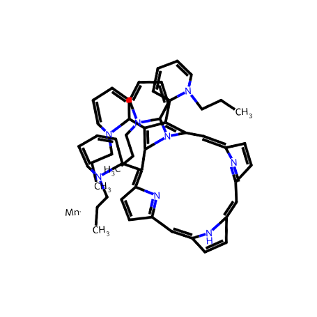 CCCN1C=CC=CC1c1c(C2C=CC=CN2CCC)c2c(C3C=CC=CN3CCC)c3nc(cc4ccc(cc5nc(cc1n2C1C=CC=CN1CCC)C=C5)[nH]4)C=C3.[Mn]